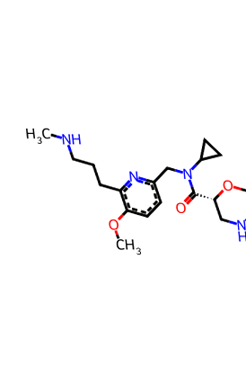 CNCCCc1nc(CN(C(=O)[C@H]2CNCCO2)C2CC2)ccc1OC